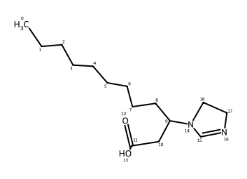 CCCCCCCCCC(CC(=O)O)N1C=NCC1